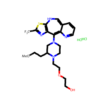 COCCC1CN(C2=c3ncccc3=CNc3sc(C(F)(F)F)nc32)CCN1CCOCCO.Cl.Cl